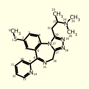 CSc1ccc2c(c1)C(c1ccccn1)=NCc1nnc(CC(C)N(C)C)n1-2